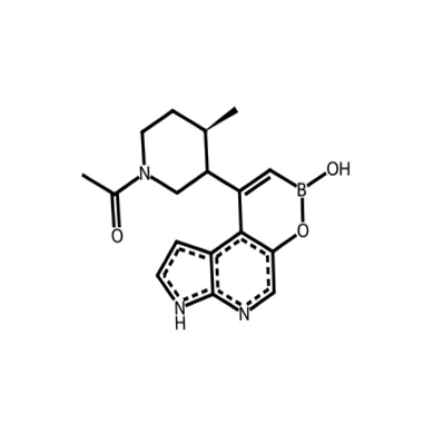 CC(=O)N1CC[C@@H](C)C(C2=CB(O)Oc3cnc4[nH]ccc4c32)C1